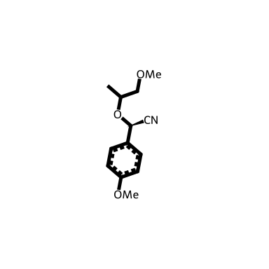 COCC(C)O[C@@H](C#N)c1ccc(OC)cc1